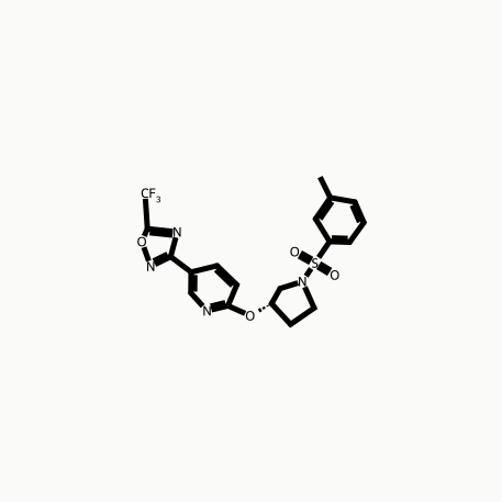 Cc1cccc(S(=O)(=O)N2CC[C@H](Oc3ccc(-c4noc(C(F)(F)F)n4)cn3)C2)c1